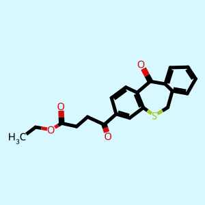 CCOC(=O)CCC(=O)c1ccc2c(c1)SCc1ccccc1C2=O